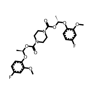 COc1cc(F)ccc1O[C@@H](C)OC(=O)N1CCN(C(=O)O[C@H](C)Oc2ccc(F)cc2OC)CC1